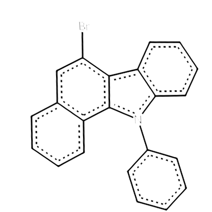 Brc1cc2ccccc2c2c1c1ccccc1n2-c1ccccc1